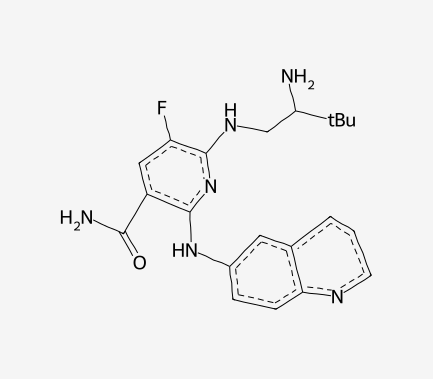 CC(C)(C)C(N)CNc1nc(Nc2ccc3ncccc3c2)c(C(N)=O)cc1F